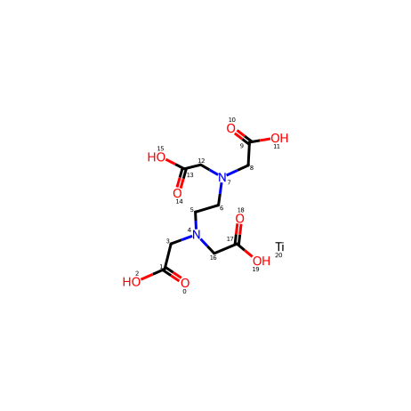 O=C(O)CN(CCN(CC(=O)O)CC(=O)O)CC(=O)O.[Ti]